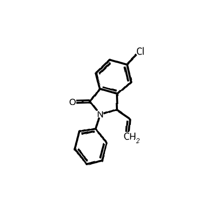 C=CC1c2cc(Cl)ccc2C(=O)N1c1ccccc1